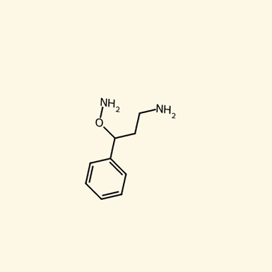 NCCC(ON)c1ccccc1